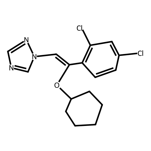 Clc1ccc(C(=Cn2cncn2)OC2CCCCC2)c(Cl)c1